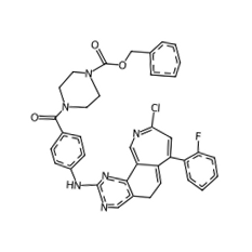 O=C(OCc1ccccc1)N1CCN(C(=O)c2ccc(Nc3ncc4c(n3)C3=CN=C(Cl)C=C(c5ccccc5F)C3=CC4)cc2)CC1